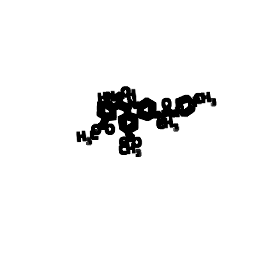 COC(=O)c1ccc(/C(Nc2ccc(N(C)C(=O)CN3CCN(C)CC3)cc2)=C2/C(=O)Nc3ccc(C(=O)OC)cc32)cc1